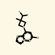 CC1(C(F)F)CN(c2cc(Cl)nn3ccnc23)C1